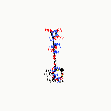 CC[C@H](C)[C@@H]1NC(=O)[C@H](CC(C)C)NC(=O)C(C)(C)NC(=O)CCSCc2cccc(c2)CSC[C@@H](C(=O)NCCCOCCOCCOCCCNC(O)CCC(=O)N[C@@H](CCCCNC(=O)CN2CCN(CC(=O)O)CCN(CC(=O)O)CCN(CC(=O)O)CC2)C(N)=O)NC1=O